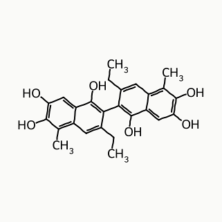 CCc1cc2c(C)c(O)c(O)cc2c(O)c1-c1c(CC)cc2c(C)c(O)c(O)cc2c1O